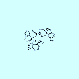 Cc1cccc(Cl)c1S(=O)(=O)N1CCn2cccc2C1CC(=O)N1CCC(O)(c2cccc(C(F)(F)F)c2)CC1